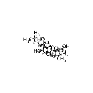 C=C(C)[C@@H]1CC=C2C(=CC[C@]3(C)[C@@H](C(CCC=C(C)C)C(=O)O)[C@H](O)C[C@@]23C)[C@@]1(C)CCC(=O)O